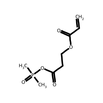 C=CC(=O)OCCC(=O)OP(C)(C)=O